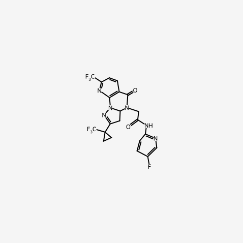 O=C(CN1C(=O)c2ccc(C(F)(F)F)nc2N2N=C(C3(C(F)(F)F)CC3)CC12)Nc1ccc(F)cn1